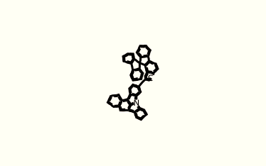 c1ccc2c(c1)-c1ccccc1C21c2ccccc2-c2ccc3ccc(-c4ccc5c6c7ccccc7cc7c8ccccc8n(c5c4)c76)cc3c21